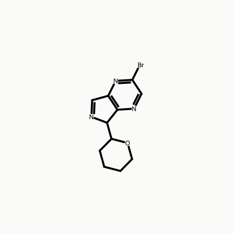 Brc1cnc2c(n1)C=NC2C1CCCCO1